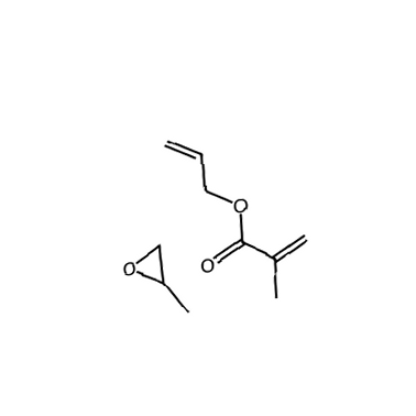 C=CCOC(=O)C(=C)C.CC1CO1